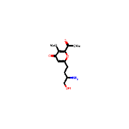 COC(=O)c1oc(CCC(N)CO)cc(=O)c1OC